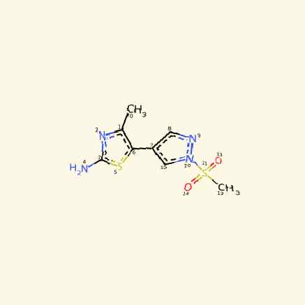 Cc1nc(N)sc1-c1cnn(S(C)(=O)=O)c1